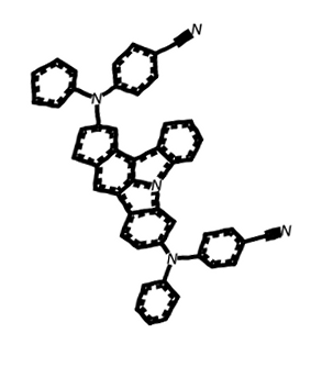 N#Cc1ccc(N(c2ccccc2)c2ccc3cc4c5ccc(N(c6ccccc6)c6ccc(C#N)cc6)cc5n5c6ccccc6c(c3c2)c45)cc1